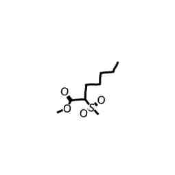 CCCCCC(C(=O)OC)S(C)(=O)=O